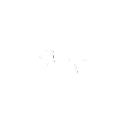 NC(=O)C=CN1CCNC1=O